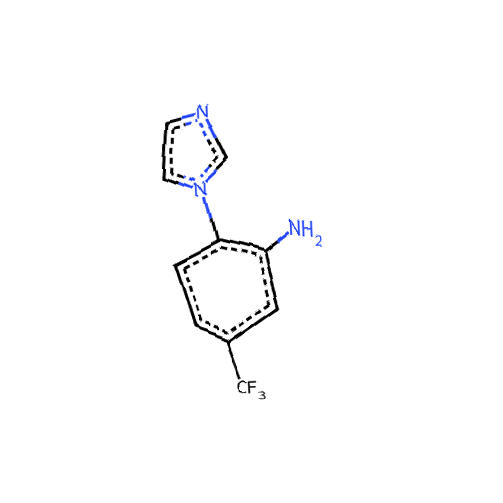 Nc1cc(C(F)(F)F)ccc1-n1ccnc1